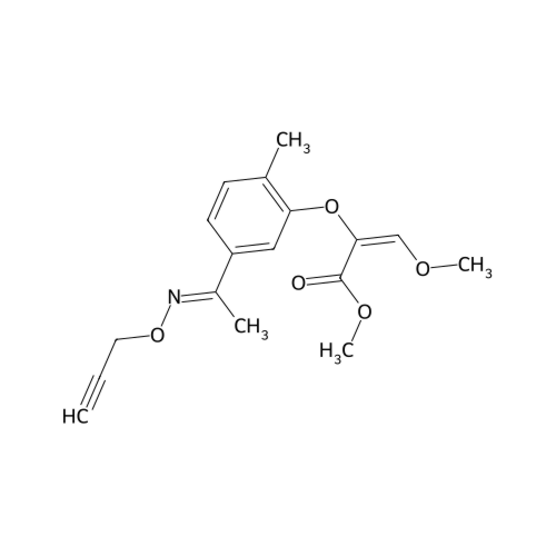 C#CCO/N=C(\C)c1ccc(C)c(O/C(=C/OC)C(=O)OC)c1